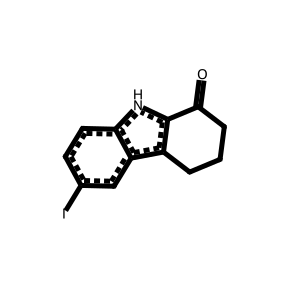 O=C1CCCc2c1[nH]c1ccc(I)cc21